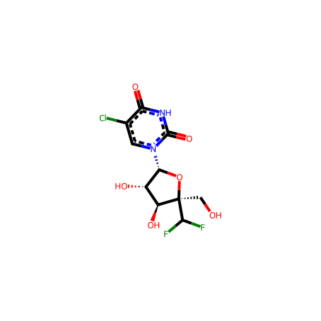 O=c1[nH]c(=O)n([C@@H]2O[C@@](CO)(C(F)F)[C@@H](O)[C@@H]2O)cc1Cl